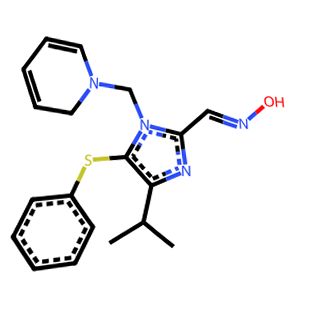 CC(C)c1nc(C=NO)n(CN2C=CC=CC2)c1Sc1ccccc1